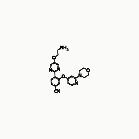 N#Cc1ccc(-c2ncc(OCCN)cn2)c(Oc2ccnc(N3CCOCC3)c2)c1